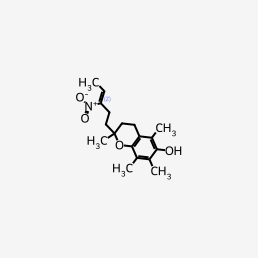 C/C=C(/CCC1(C)CCc2c(C)c(O)c(C)c(C)c2O1)[N+](=O)[O-]